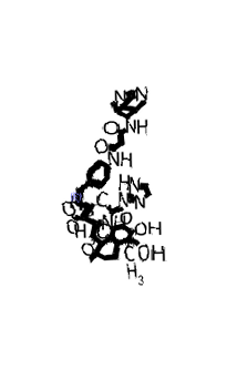 CC(NC(CC1C2(CCC3[C@]1(C)CC[C@@H](O)[C@@]3(C)CO)CO2)C1=C/C(=C\c2ccc(NC(=O)CC(=O)NC3C4CN5CC3CN(C4)C5)cc2)OC1=O)C(=O)NC1=NCC=N1